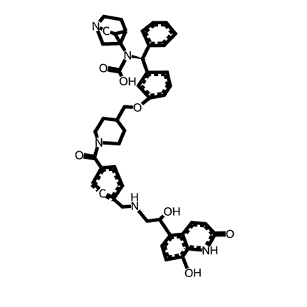 O=C(c1ccc(CNCC(O)c2ccc(O)c3[nH]c(=O)ccc23)cc1)N1CCC(COc2cccc([C@H](c3ccccc3)N(C(=O)O)C3CN4CCC3CC4)c2)CC1